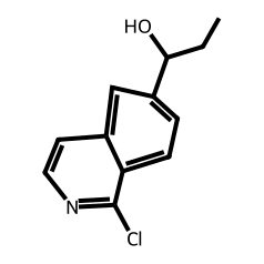 CCC(O)c1ccc2c(Cl)nccc2c1